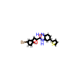 Nc1ccc(-c2cccs2)cc1NC(=O)c1cc2cc(Br)ccc2o1